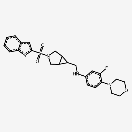 O=S(=O)(c1cc2ccccc2s1)N1CC2C(CNc3ccc(N4CCOCC4)c(F)c3)C2C1